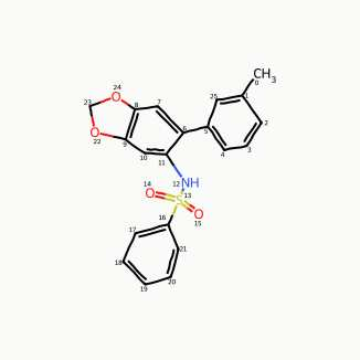 Cc1cccc(-c2cc3c(cc2NS(=O)(=O)c2ccccc2)OCO3)c1